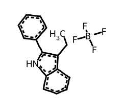 CCc1c(-c2ccccc2)[nH]c2ccccc12.F[B-](F)(F)F